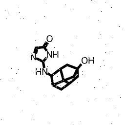 O=C1C=NC(NC2C3CC4CC2CC(O)(C4)C3)N1